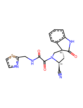 N#C[C@@H]1C[C@@]2(CN1C(=O)C(=O)NCc1nccs1)C(=O)Nc1ccccc12